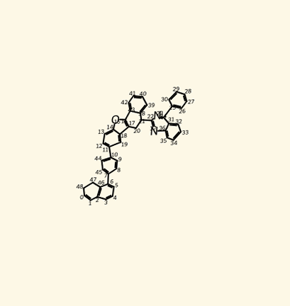 C1=Cc2cccc(-c3ccc(-c4ccc5oc6c(c5c4)CC(c4nc(-c5ccccc5)c5ccccc5n4)c4ccccc4-6)cc3)c2CC1